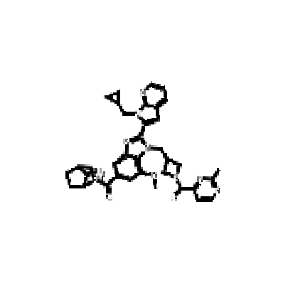 COc1cc(C(=O)N2CC3CCC2[C@@H]3N)cc2nc(-c3cc4cccnc4n3CC3CC3)n(CC3CN(C(=O)c4ccnc(C)n4)C3)c12